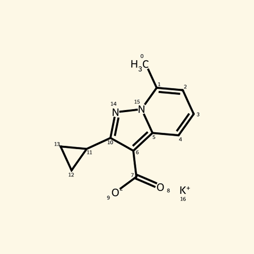 Cc1cccc2c(C(=O)[O-])c(C3CC3)nn12.[K+]